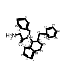 NCC(=O)N(Cc1ccccc1)C1c2ccccc2CCC1Cc1ccccc1